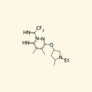 CCN1CC(Oc2nn(C(=N)C(F)(F)F)c(=N)c(C)c2C)CC1C